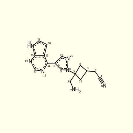 N#CCC1CC(CN)(n2cc(-c3ncnc4[nH]ccc34)cn2)C1